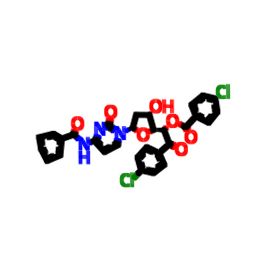 O=C(Nc1ccn([C@H]2C[C@H](O)[C@@H](C(OC(=O)c3ccc(Cl)cc3)C(=O)c3ccc(Cl)cc3)O2)c(=O)n1)c1ccccc1